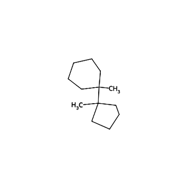 CC1(C2(C)CCCC2)CCCCC1